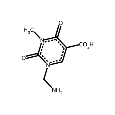 Cn1c(=O)c(C(=O)O)cn(CN)c1=O